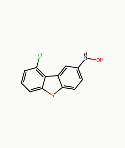 OBc1ccc2sc3cccc(Cl)c3c2c1